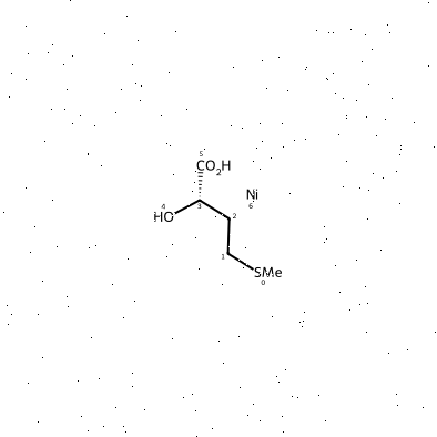 CSCC[C@H](O)C(=O)O.[Ni]